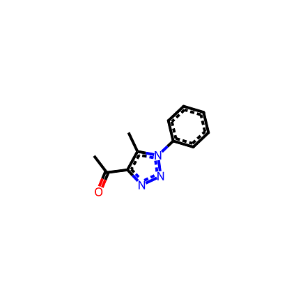 CC(=O)c1nnn(-c2ccccc2)c1C